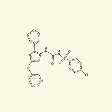 O=C(Nc1sc(Oc2cccnc2)nc1-c1ccccc1)NS(=O)(=O)c1ccc(Cl)cc1